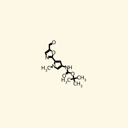 Cn1cc(NC(=O)OC(C)(C)C)cc1-c1ncc(C=O)o1